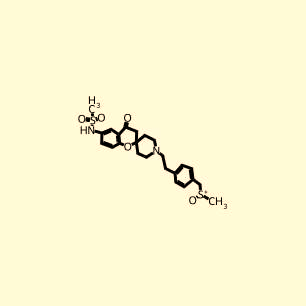 C[S+]([O-])Cc1ccc(CCN2CCC3(CC2)CC(=O)c2cc(NS(C)(=O)=O)ccc2O3)cc1